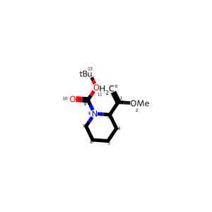 C=C(OC)C1CCCCN1C(=O)OC(C)(C)C